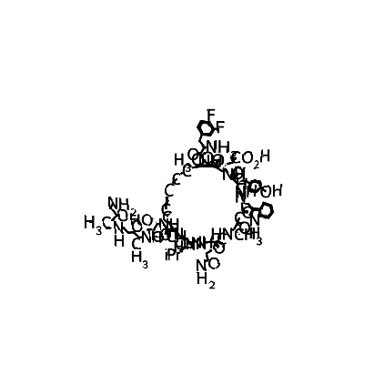 CC(C)CC[C@@H]1NN[C@@H](CCC(N)=O)C(=O)CN[C@@H](C)C(=O)CC(=O)[C@H](Cc2c[nH]c3ccccc23)NN[C@@H](Cc2ccc(O)cc2)C(=O)N[C@@H](CCC(=O)O)C(=O)C(=O)[C@](C)(NC(=O)[C@@H](N)Cc2ccc(F)c(F)c2)CCCCCC/C=C/CCC[C@@](C)(C(=O)N[C@@H](CO)C(=O)CN[C@@H](C)C(=O)CCN[C@@H](C)C(=O)CN)NC1=O